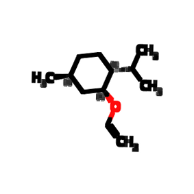 C=CO[C@H]1C[C@@H](C)CC[C@@H]1C(C)C